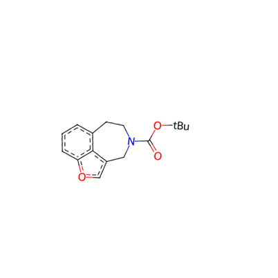 CC(C)(C)OC(=O)N1CCc2cccc3occ(c23)C1